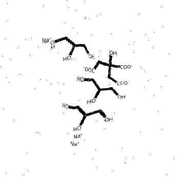 O=C([O-])CC(O)(CC(=O)[O-])C(=O)[O-].OCC(O)CO.OCC(O)CO.OCC(O)CO.[Na+].[Na+].[Na+]